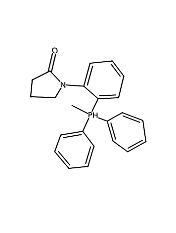 C[PH](c1ccccc1)(c1ccccc1)c1ccccc1N1CCCC1=O